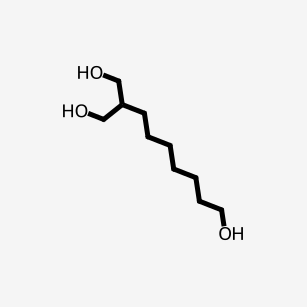 OCCCCCCCC(CO)CO